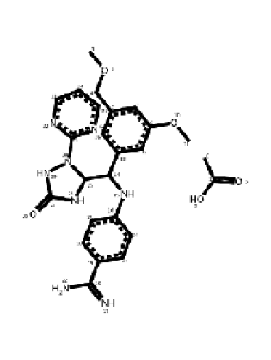 CC(=O)O.COCc1cc(OC)cc(C(Nc2ccc(C(=N)N)cc2)C2NC(=O)NN2c2ncccn2)c1